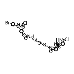 O=C(COc1ccc(C2CC(c3ccc(Br)cc3)=NN2C(=O)CCl)cc1)NCCCOCCOCCOCCCNC(=O)c1cccc(S(=O)(=O)Nc2cccc3c(Cl)c[nH]c23)c1